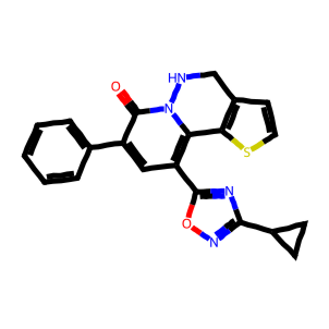 O=c1c(-c2ccccc2)cc(-c2nc(C3CC3)no2)c2n1NCc1ccsc1-2